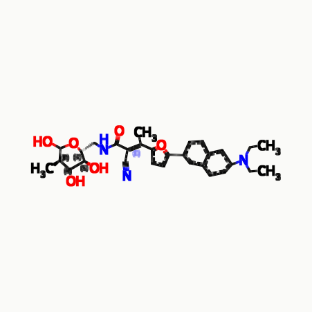 CCN(CC)c1ccc2cc(-c3ccc(/C(C)=C(\C#N)C(=O)NC[C@H]4OC(O)[C@H](C)[C@@H](O)[C@@H]4O)o3)ccc2c1